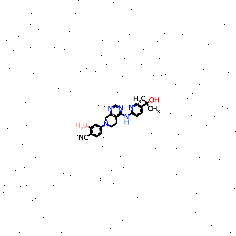 Bc1cc(N2CCc3c(ncnc3Nc3ccc(C(C)(C)O)cn3)C2)ccc1C#N